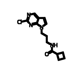 O=C(NCCCn1ccc2cnc(Cl)nc21)C1CCC1